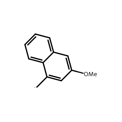 [CH2]c1cc(OC)cc2ccccc12